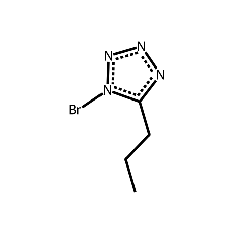 CCCc1nnnn1Br